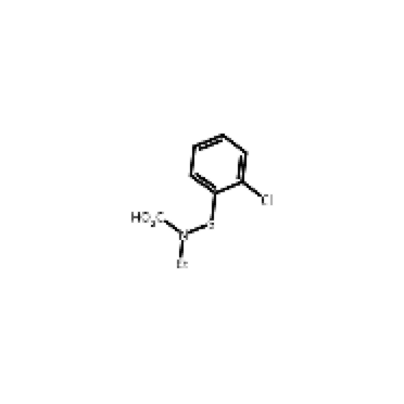 CCN(Sc1ccccc1Cl)C(=O)O